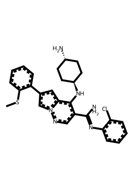 CSc1ccccc1-c1cc2c(N[C@H]3CC[C@H](N)CC3)c(/C(N)=N/c3ccccc3Cl)cnn2c1